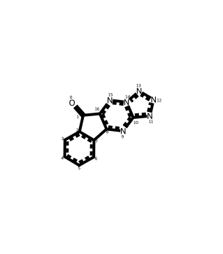 O=C1c2ccccc2-c2nc3nnnn3nc21